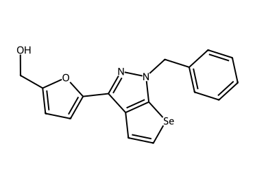 OCc1ccc(-c2nn(Cc3ccccc3)c3[se]ccc23)o1